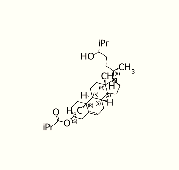 CC(C)C(=O)O[C@H]1CC[C@@]2(C)C(=CC[C@H]3[C@@H]4CC[C@H]([C@H](C)CCC(O)C(C)C)[C@@]4(C)CC[C@@H]32)C1